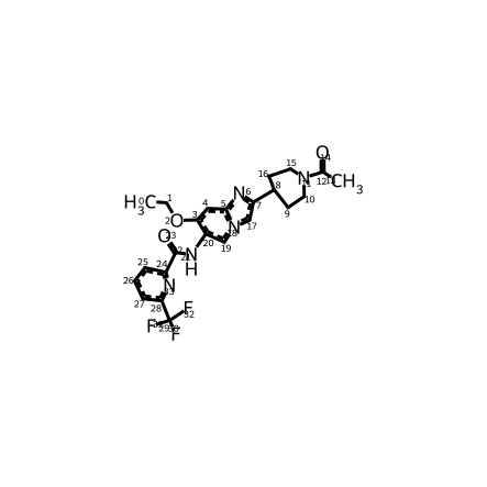 CCOc1cc2nc(C3CCN(C(C)=O)CC3)cn2cc1NC(=O)c1cccc(C(F)(F)F)n1